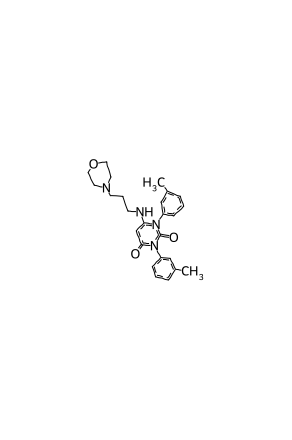 Cc1cccc(-n2c(NCCCN3CCOCC3)cc(=O)n(-c3cccc(C)c3)c2=O)c1